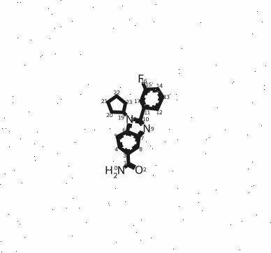 NC(=O)c1ccc2c(c1)nc(-c1cccc(F)c1)n2C1CCCC1